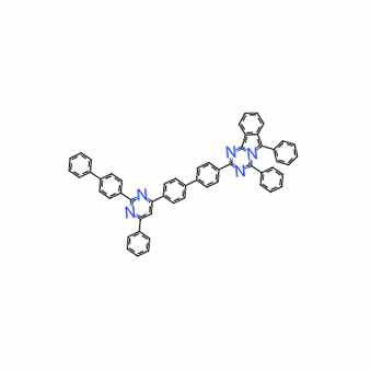 c1ccc(-c2ccc(-c3nc(-c4ccccc4)cc(-c4ccc(-c5ccc(-c6nc(-c7ccccc7)n7c(-c8ccccc8)c8ccccc8c7n6)cc5)cc4)n3)cc2)cc1